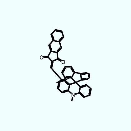 CN1c2ccccc2C2(c3ccccc3-c3ccccc32)c2c1ccc1cc(C=C3C(=O)c4cc5ccccc5cc4C3=O)ccc21